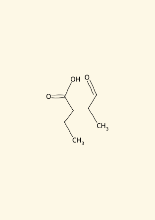 CCC=O.CCCC(=O)O